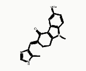 COc1ccc2c(c1)c1c(n2C)CCC(=Cc2nc[nH]c2C)C1=O